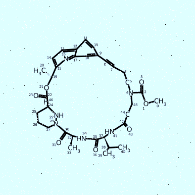 COC(=O)N1CC/C=C/c2ccc3ccc(nc3c2)[C@@H](C)OC(=O)[C@@H]2CCCN(N2)C(=O)[C@H](C)NC(=O)[C@H](C(C)C)NC(=O)CC1